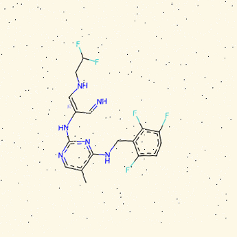 Cc1cnc(N/C(C=N)=C/NCC(F)F)nc1NCc1c(F)ccc(F)c1F